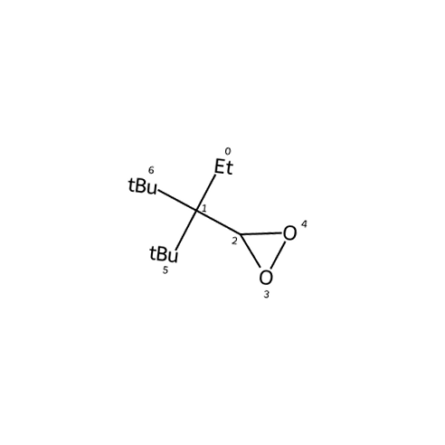 CCC(C1OO1)(C(C)(C)C)C(C)(C)C